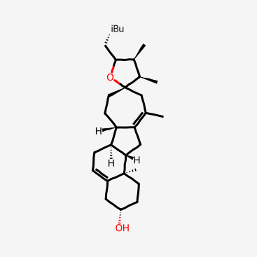 CC[C@@H](C)CC1O[C@]2(CC[C@@H]3C(=C(C)C2)C[C@H]2[C@H]3CC=C3C[C@@H](O)CC[C@@]32C)[C@H](C)[C@@H]1C